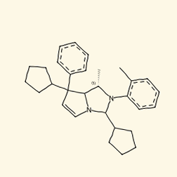 Cc1ccccc1N1C(C2CCCC2)N2C=CC(c3ccccc3)(C3CCCC3)C2[C@@H]1C